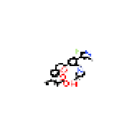 Cc1cc(-c2ccc(C3CCc4ccc([C@H](C5CC5)[C@H](C)C(=O)O)cc4O3)cc2CN2CC[C@@H](C)C2)c(F)cn1